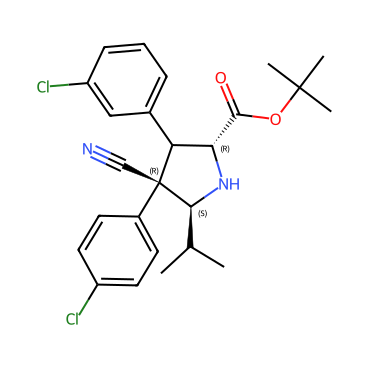 CC(C)[C@@H]1N[C@@H](C(=O)OC(C)(C)C)C(c2cccc(Cl)c2)[C@@]1(C#N)c1ccc(Cl)cc1